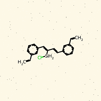 C=Cc1cccc(C=CC(=Cc2cccc(C=C)c2)[SiH2]Cl)c1